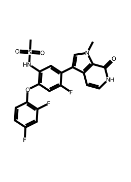 Cn1cc(-c2cc(NS(C)(=O)=O)c(Oc3ccc(F)cc3F)cc2F)c2cc[nH]c(=O)c21